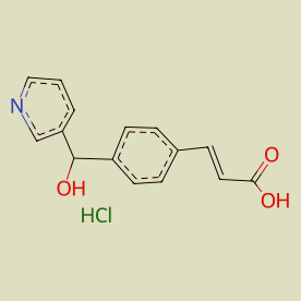 Cl.O=C(O)/C=C/c1ccc(C(O)c2cccnc2)cc1